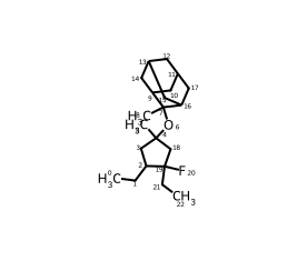 CCC1CC(C)(OC2(C)C3CC4CC(C3)CC2C4)CC1(F)CC